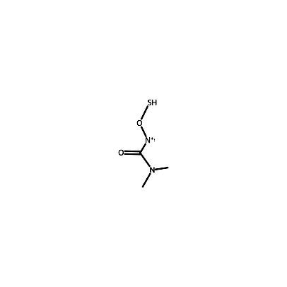 CN(C)C(=O)[N+]OS